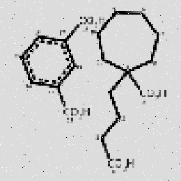 O=C(O)CCCC1(C(=O)O)CCCCCC1.O=C(O)c1cccc(C(=O)O)c1